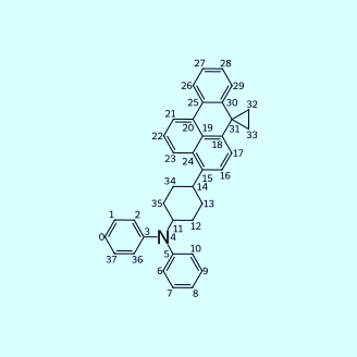 c1ccc(N(c2ccccc2)C2CCC(c3ccc4c5c(cccc35)-c3ccccc3C43CC3)CC2)cc1